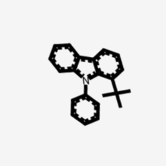 CC(C)(C)c1cccc2c3ccccc3n(-c3ccccc3)c12